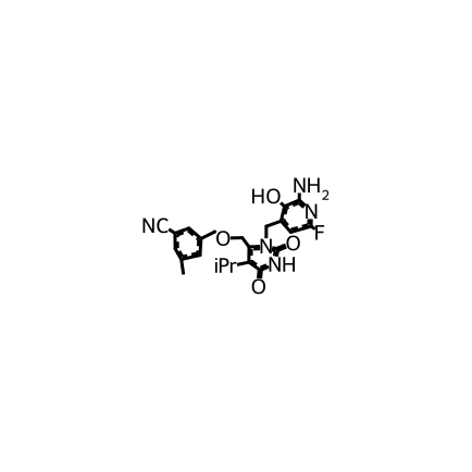 Cc1cc(C#N)cc(COCc2c(C(C)C)c(=O)[nH]c(=O)n2Cc2cc(F)nc(N)c2O)c1